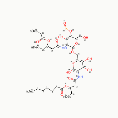 CCCCCCCCCCCCCCCC(=O)O[C@H](CCCCCCCCCCC)CC(=O)NC1C(O)OC(COC2OC(CO)C(OP=O)C(O)C2NC(=O)C[C@@H](CCCCCCCCCCC)OC(=O)CCCCCCCCCCC)C(O)C1O